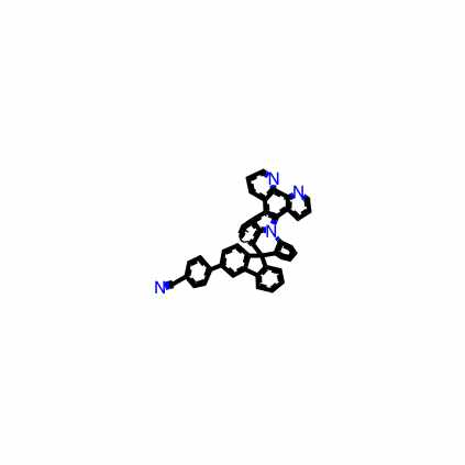 N#Cc1ccc(-c2ccc3c(c2)-c2ccccc2C32c3ccccc3-n3c4c2cccc4c2c4cccnc4c4ncccc4c23)cc1